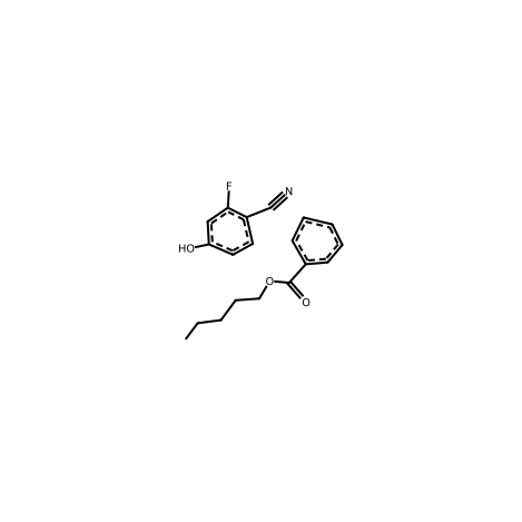 CCCCCOC(=O)c1ccccc1.N#Cc1ccc(O)cc1F